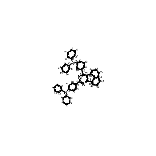 c1ccc(N(c2ccccc2)c2ccc(-c3nc(-c4cccc(N(c5ccccc5)c5ccccc5)c4)c4c(n3)-c3cccc5cccc-4c35)cc2)cc1